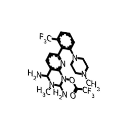 CN1CCN(c2cccc(C(F)(F)F)c2-c2ccc3c(n2)N(OC(=O)C(F)(F)F)C(N)N(C)C3N)CC1